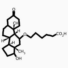 C[C@]12CCC(=O)CC1CC[C@@H]1[C@H]2C(OCCCCCC(=O)O)C[C@]2(C)C(O)CC[C@@H]12